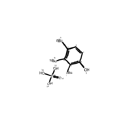 CCCCc1ccc(O)c(CCCC)c1CCCC.O=P(O)(O)O